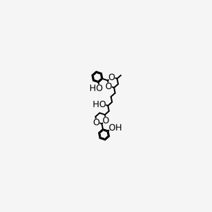 CC1CC(CCCC(O)CC2CCOC(c3ccccc3O)O2)OC(c2ccccc2O)O1